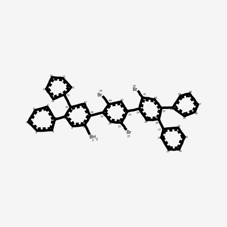 Bc1cc(-c2ccccc2)c(-c2ccccc2)cc1-c1cc(Br)c(-c2cc(-c3ccccc3)c(-c3ccccc3)cc2Br)cc1Br